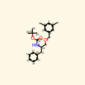 Cc1cc(C)cc(COCC(Cc2ccccc2)NC(=O)OC(C)(C)C)c1